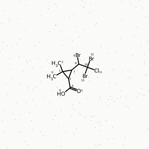 CC1(C)C(C(=O)O)C1C(Br)C(Cl)(Br)Br